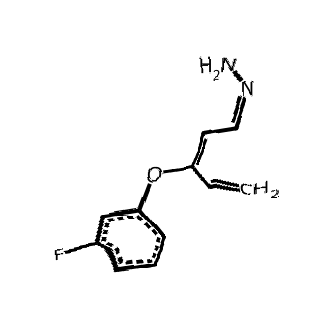 C=C/C(=C\C=N/N)Oc1cccc(F)c1